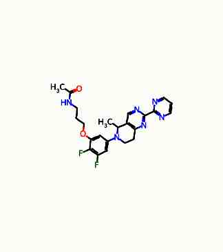 CC(=O)NCCCOc1cc(N2CCc3nc(-c4ncccn4)ncc3C2C)cc(F)c1F